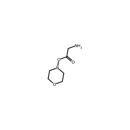 NCC(=O)ON1CCOCC1